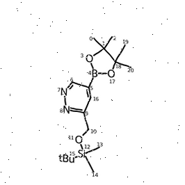 CC1(C)OB(c2cnnc(CO[Si](C)(C)C(C)(C)C)c2)OC1(C)C